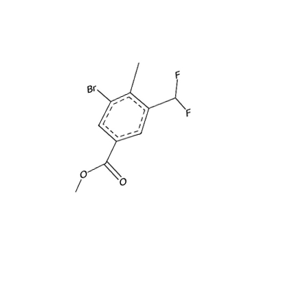 COC(=O)c1cc(Br)c(C)c(C(F)F)c1